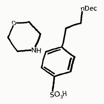 C1COCCN1.CCCCCCCCCCCCc1ccc(S(=O)(=O)O)cc1